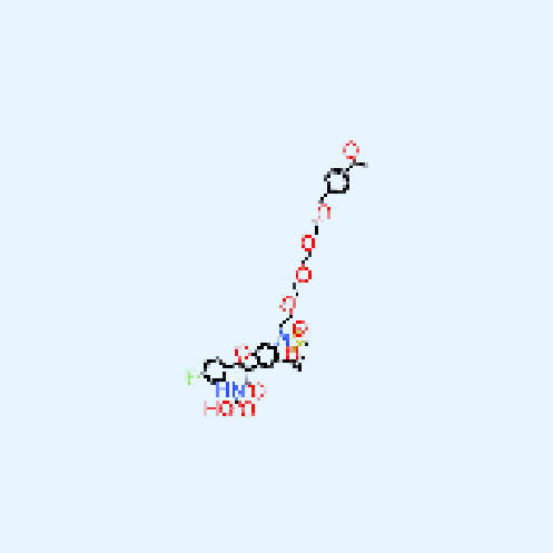 CC(=O)c1ccc(COCCOCCOCCOCCN(c2cc3oc(-c4ccc(F)cc4)c(C(=O)NC(=O)O)c3cc2C2CC2)S(C)(=O)=O)cc1